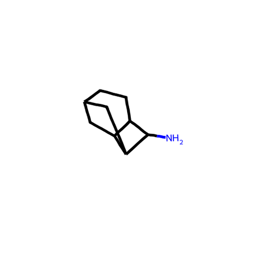 NC1C2CCC3CC1C2C3